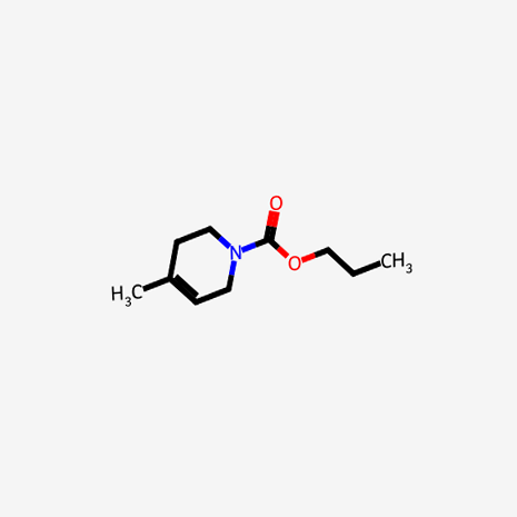 CCCOC(=O)N1CC=C(C)CC1